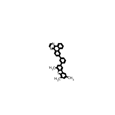 Cc1cc(C)c2sc3c(C)cc(-c4cccc(-c5ccc6c(c5)c5ccccc5c5nccnc65)c4)cc3c2c1